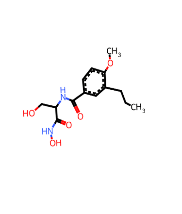 CCCc1cc(C(=O)NC(CO)C(=O)NO)ccc1OC